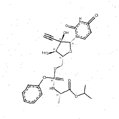 C#C[C@@]1(O)[C@H](O)[C@@H](CO[P@](=S)(N[C@@H](C)C(=O)OC(C)C)Oc2ccccc2)O[C@H]1n1ccc(=O)[nH]c1=O